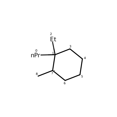 CCCC1(CC)CCCC[C]1C